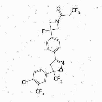 O=C(CC(F)(F)F)N1CC(F)(c2ccc(C3=NOC(c4ccc(Cl)c(C(F)(F)F)c4)(C(F)(F)F)C3)cc2)C1